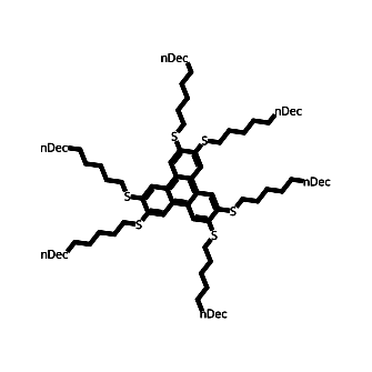 CCCCCCCCCCCCCCCSc1cc2c3cc(SCCCCCCCCCCCCCCC)c(SCCCCCCCCCCCCCCC)cc3c3cc(SCCCCCCCCCCCCCCC)c(SCCCCCCCCCCCCCCC)cc3c2cc1SCCCCCCCCCCCCCCC